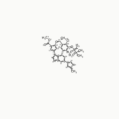 COC(=O)c1sc(-n2cnc3cc(-c4cnn(C)c4)ccc32)cc1O[C@H](C)c1cccc(O[Si](C)(C)C(C)(C)C)c1Cl